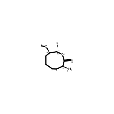 CO[C@@H]1CCCC[C@H](N)C(=O)O[C@H]1C